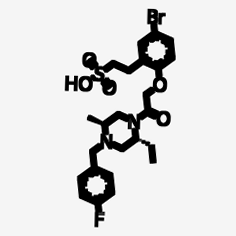 CC[C@@H]1CN(Cc2ccc(F)cc2)[C@@H](C)CN1C(=O)COc1ccc(Br)cc1CCS(=O)(=O)O